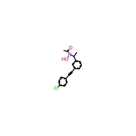 CC(=O)N(O)C(C)c1cccc(C#Cc2ccc(Cl)cc2)c1